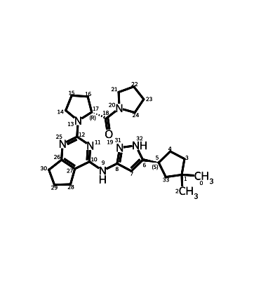 CC1(C)CC[C@H](c2cc(Nc3nc(N4CCC[C@@H]4C(=O)N4CCCC4)nc4c3CCC4)n[nH]2)C1